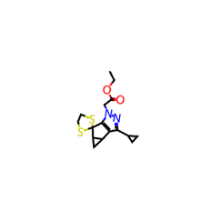 CCOC(=O)Cn1nc(C2CC2)c2c1C1(SCCS1)C1CC21